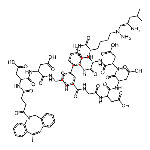 C/C1=C/c2ccccc2CN(C(=O)CCC(=O)NC(CC(=O)O)C(=O)NC(CC(=O)O)C(=O)NCC(=O)NCC(=O)NCC(=O)NC(CC(=O)O)C(=O)NC(CC(=O)O)C(=O)NC(CC(=O)O)C(=O)NC(Cc2ccccc2)C(=O)NC(Cc2ccccc2)C(=O)NC(CCCCN(N)/C=C(\N)CC(C)C)C(N)=O)c2ccccc21